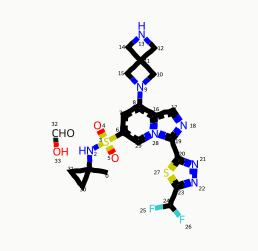 CC1(NS(=O)(=O)c2cc(N3CC4(CNC4)C3)c3cnc(-c4nnc(C(F)F)s4)n3c2)CC1.O=CO